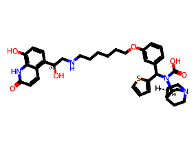 O=C(O)N(C(c1cccc(OCCCCCCNC[C@@H](O)c2ccc(O)c3[nH]c(=O)ccc23)c1)c1cccs1)[C@H]1CN2CCC1CC2